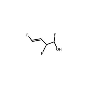 OC(F)C(F)C=CF